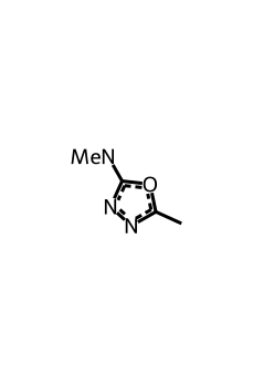 CNc1nnc(C)o1